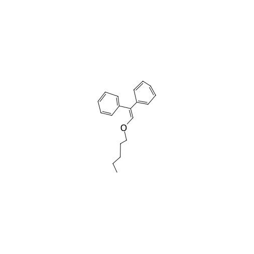 CCCCCOC=C(c1ccccc1)c1ccccc1